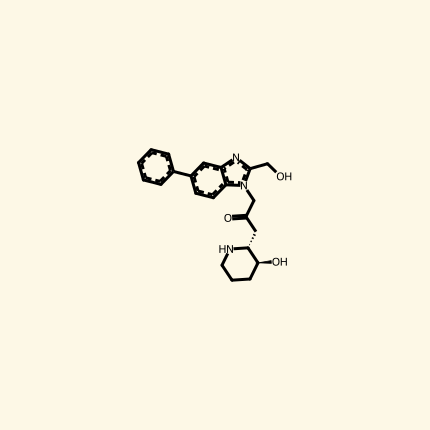 O=C(C[C@H]1NCCC[C@@H]1O)Cn1c(CO)nc2cc(-c3ccccc3)ccc21